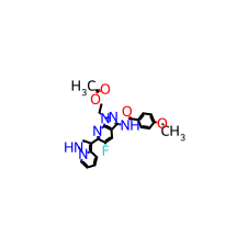 COc1ccc(C(=O)Nc2nn(CCOC(C)=O)c3nc(C4=C5C=CC=CN5NC4)c(F)cc23)cc1